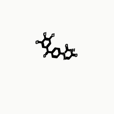 O=C(c1ccc(-n2ncc(=O)[nH]c2=O)cc1)c1cc(Cl)c(Cl)c(Cl)c1